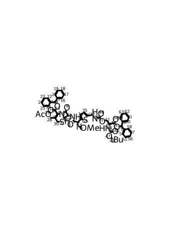 CO/N=C(/C(=O)N[C@@H]1C(=O)N2C(C(=O)OC(c3ccccc3)c3ccccc3)=C(COC(C)=O)CS[C@H]12)c1ccc(CNC(=O)OCC(NC(=O)OC(C)(C)C)C(=O)OC(c2ccccc2)c2ccccc2)s1